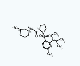 CCN(c1nc(C)ccc1S(=O)(=O)N1CCC[C@H]1C(=O)N[C@@H]1CCC[C@@H](O)C1)C(C)C